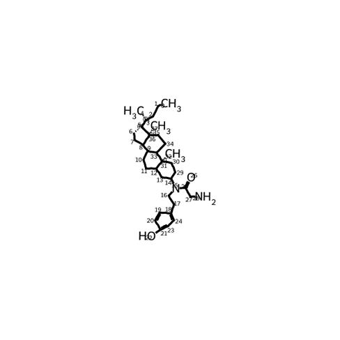 CCC[C@@H](C)[C@H]1CCC2C3CCC4CC(N(CCc5ccc(O)cc5)C(=O)CN)CC[C@]4(C)C3CC[C@@]21C